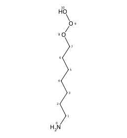 NCCCCCCCOOO